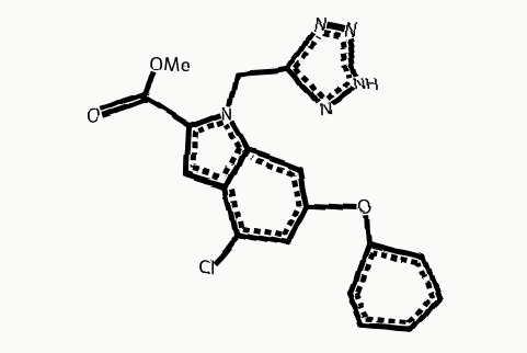 COC(=O)c1cc2c(Cl)cc(Oc3ccccc3)cc2n1Cc1nn[nH]n1